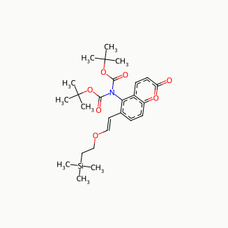 CC(C)(C)OC(=O)N(C(=O)OC(C)(C)C)c1c(/C=C/OCC[Si](C)(C)C)ccc2oc(=O)ccc12